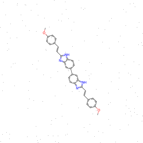 COc1ccc(C=Cc2nc3cc(-c4ccc5nc(C=Cc6ccc(OC)cc6)[nH]c5c4)ccc3[nH]2)cc1